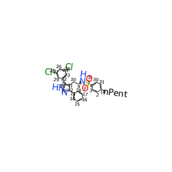 CCCCCc1ccc(S(=O)(=O)NCCc2c(-c3ccccc3)n[nH]c2-c2cc(Cl)cc(Cl)c2)cc1